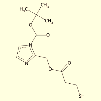 CC(C)(C)OC(=O)n1ccnc1COC(=O)CCS